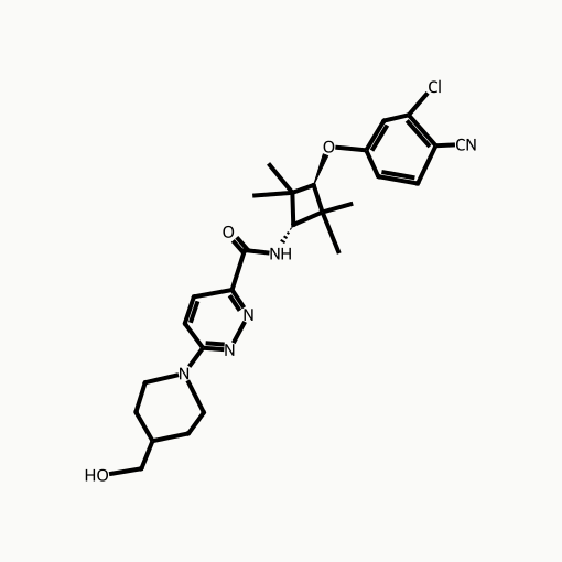 CC1(C)[C@H](NC(=O)c2ccc(N3CCC(CO)CC3)nn2)C(C)(C)[C@H]1Oc1ccc(C#N)c(Cl)c1